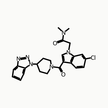 CN(C)C(=O)Cn1cc(C(=O)N2CCC(n3nnc4ccccc43)CC2)c2ccc(Cl)cc21